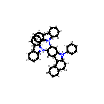 c1ccc(-n2c3cc(-n4c5ccccc5c5ccccc54)c(-n4c5ccccc5c5ccccc54)cc3c3c4ccccc4ccc32)cc1